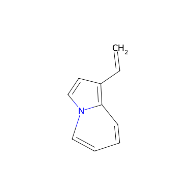 C=Cc1ccn2ccccc12